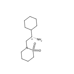 N[C@H](CN1CCCCS1(=O)=O)C1CCCCC1